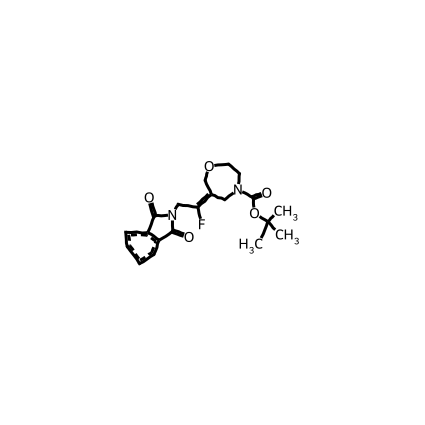 CC(C)(C)OC(=O)N1CCOCC(=C(F)CN2C(=O)c3ccccc3C2=O)C1